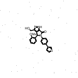 COc1ccccc1C1c2c(CO)n[nH]c2C(=O)N1c1ccc(-c2ccsc2)cc1